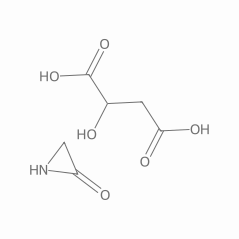 O=C(O)CC(O)C(=O)O.O=C1CN1